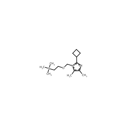 Cc1nc(C2CCC2)n(COCC[Si](C)(C)C)c1C